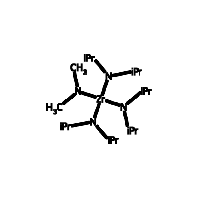 CC(C)[N](C(C)C)[Zr]([N](C)C)([N](C(C)C)C(C)C)[N](C(C)C)C(C)C